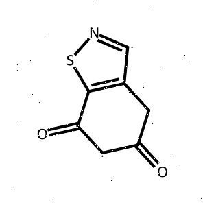 O=C1[CH]C(=O)c2sn[c]c2C1